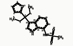 CCC(CC)(c1ccco1)c1c[nH]c2c(NS(C)(=O)=O)cccc12